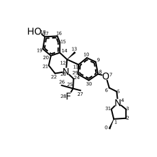 C[C@@H]1CCN(CCOc2ccc([C@@]3(C)c4ccc(O)cc4CCN3CC(C)(C)F)cc2)C1